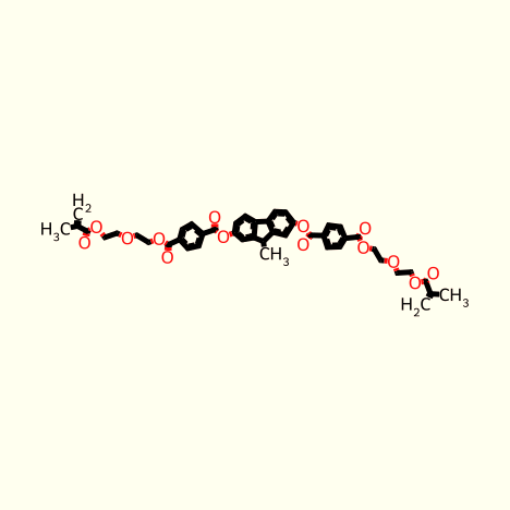 C=C(C)C(=O)OCCOCCOC(=O)c1ccc(C(=O)Oc2ccc3c(c2)C(C)c2cc(OC(=O)c4ccc(C(=O)OCCOCCOC(=O)C(=C)C)cc4)ccc2-3)cc1